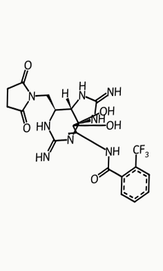 N=C1N[C@H]2[C@H](CN3C(=O)CCC3=O)NC(=N)N3CC(NC(=O)c4ccccc4C(F)(F)F)C(O)(O)[C@]23N1